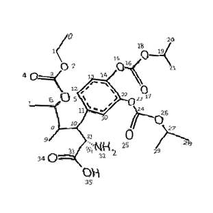 CCOC(=O)OC(C)C(C)C(c1ccc(OC(=O)OC(C)C)c(OC(=O)OC(C)C)c1)[C@H](N)C(=O)O